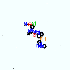 CN(C)CCOc1cc(-n2nc(C(C)(C)C)cc2NC(=O)N[C@H]2CC[C@@H](Pc3ccc4nnc(N5CCCCC5)n4c3)c3ccccc32)ccc1Cl